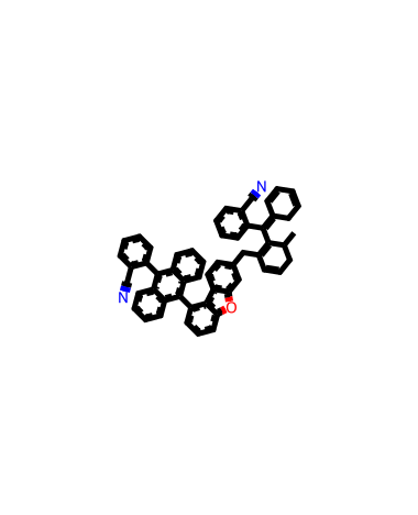 CC1CC=CC(Cc2ccc3c(c2)oc2cccc(-c4c5ccccc5c(-c5ccccc5C#N)c5ccccc45)c23)=C1/C(=C1/C=CC=CC1)c1ccccc1C#N